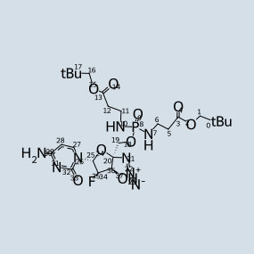 CC(C)(C)COC(=O)CCNP(=O)(NCCC(=O)OCC(C)(C)C)OC[C@@]1(N=[N+]=[N-])O[C@@H](n2ccc(N)nc2=O)[C@H](F)[C@@H]1O